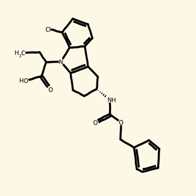 CCC(C(=O)O)n1c2c(c3cccc(Cl)c31)C[C@H](NC(=O)OCc1ccccc1)CC2